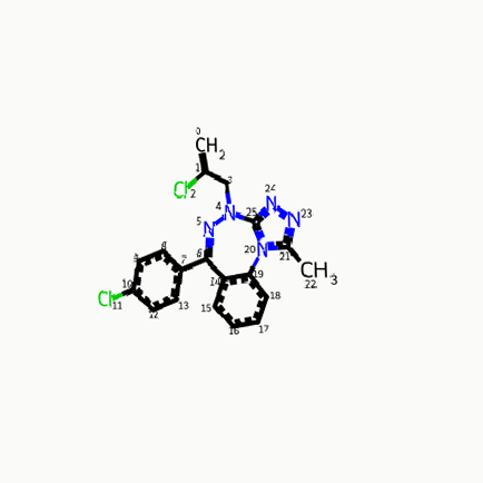 C=C(Cl)CN1N=C(c2ccc(Cl)cc2)c2ccccc2-n2c(C)nnc21